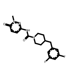 Cn1nc(NC(=O)N2CCC(Cc3cc(F)cc(F)c3)CC2)ccc1=O